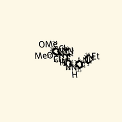 CCN1CCN(c2ccc(Nc3cc(-c4cncnc4Nc4c(Cl)c(OC)cc(OC)c4Cl)ncn3)cc2)CC1